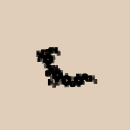 COc1ccc(OC2CCN(c3nnc(C(=O)NCc4ccc(OC)c(C(F)(F)F)c4)cc3C)CC2)cn1